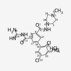 CN1CCN(NC(=O)c2cc(C(=O)NC(=N)N)cc(-c3cc(Cl)ccc3Cl)c2)CC1.Cl.Cl